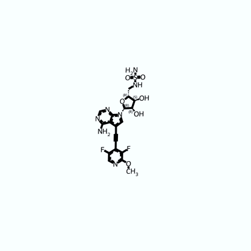 COc1ncc(F)c(C#Cc2cn([C@@H]3O[C@H](CNS(N)(=O)=O)[C@@H](O)[C@H]3O)c3ncnc(N)c23)c1F